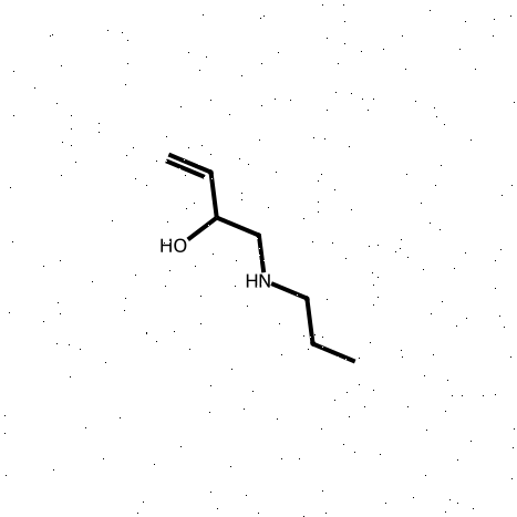 C=CC(O)CNCCC